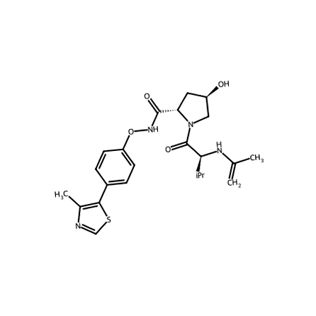 C=C(C)N[C@H](C(=O)N1C[C@H](O)C[C@H]1C(=O)NOc1ccc(-c2scnc2C)cc1)C(C)C